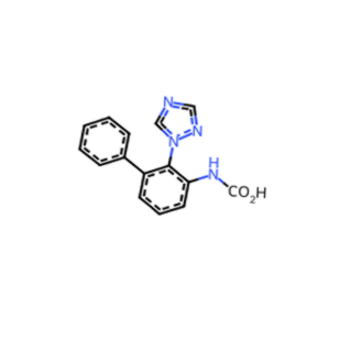 O=C(O)Nc1cccc(-c2ccccc2)c1-n1cncn1